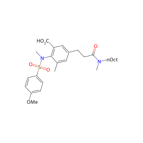 CCCCCCCCN(C)C(=O)CCc1cc(C)c(N(C)S(=O)(=O)c2ccc(OC)cc2)c(C(=O)O)c1